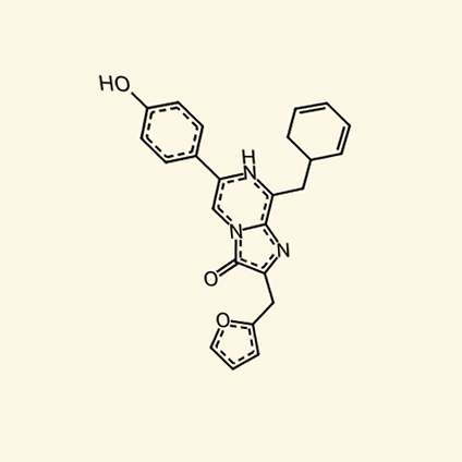 O=c1c(Cc2ccco2)nc2c(CC3C=CC=CC3)[nH]c(-c3ccc(O)cc3)cn1-2